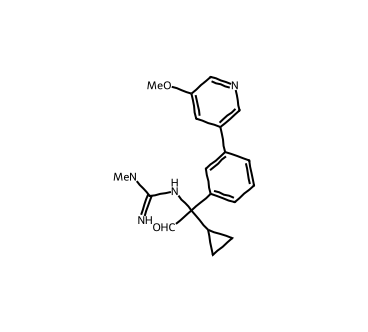 CNC(=N)NC(C=O)(c1cccc(-c2cncc(OC)c2)c1)C1CC1